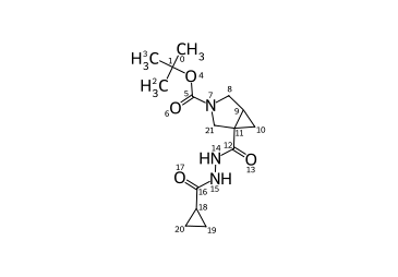 CC(C)(C)OC(=O)N1CC2CC2(C(=O)NNC(=O)C2CC2)C1